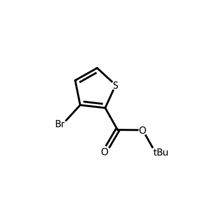 CC(C)(C)OC(=O)c1sccc1Br